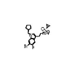 O=S(=O)(NCCc1cn(CC2CCCC2)c2cc(Br)c(F)cc12)C1CC1